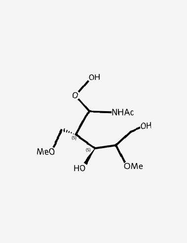 COC[C@H](C(NC(C)=O)OO)[C@H](O)C(CO)OC